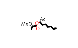 C=CCCCCC(OC(=O)C(C)OC)C(C)=O